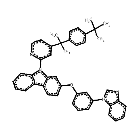 CC(C)(C)c1ccc(C(C)(C)c2ccnc(-n3c4ccccc4c4ccc(Oc5cccc(-n6cnc7ccccc76)c5)cc43)c2)cc1